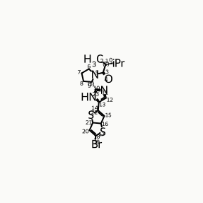 CC(C)[C@H](C)C(=O)N1CCC[C@H]1c1ncc(C2=CC3SC(Br)=CC3S2)[nH]1